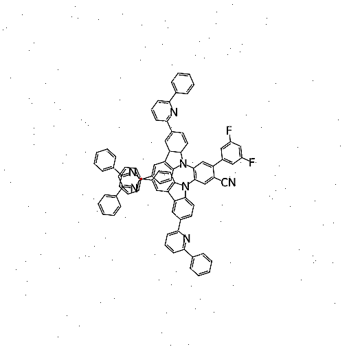 N#Cc1cc(-n2c3ccc(-c4cccc(-c5ccccc5)n4)cc3c3cc(-c4cccc(-c5ccccc5)n4)ccc32)c(N2c3ccc(-c4cccc(-c5ccccc5)n4)cc3C3C=C(c4cccc(-c5ccccc5)n4)C=CC32)cc1-c1cc(F)cc(F)c1